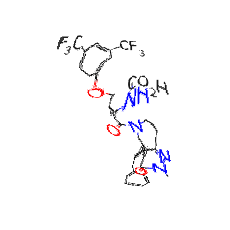 CN1N=C2CCN(C(=O)[C@@H](CCOc3cc(C(F)(F)F)cc(C(F)(F)F)c3)NC(=O)O)C[C@@]2(Cc2ccccc2)C1=O